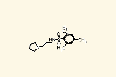 Cc1cc(C)c(S(=O)(=O)NCCCN2CCCC2)c(C)c1